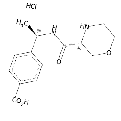 C[C@@H](NC(=O)[C@H]1COCCN1)c1ccc(C(=O)O)cc1.Cl